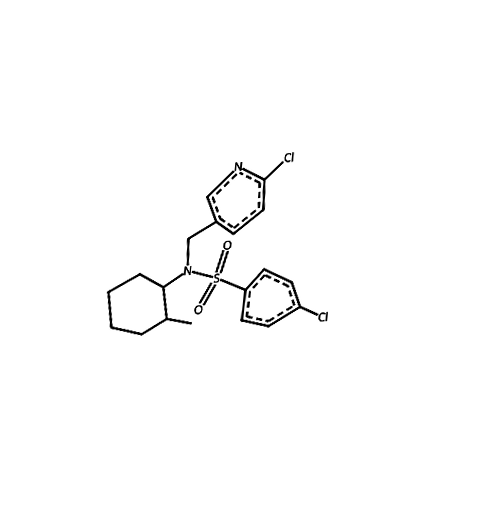 CC1CCCCC1N(Cc1ccc(Cl)nc1)S(=O)(=O)c1ccc(Cl)cc1